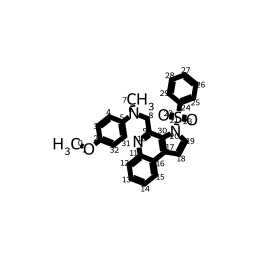 COc1ccc(N(C)Cc2nc3ccccc3c3ccn(S(=O)(=O)c4ccccc4)c23)cc1